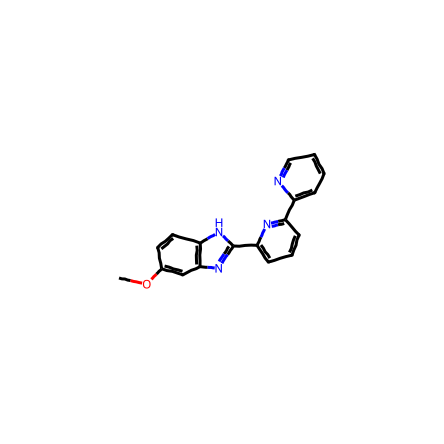 COc1ccc2[nH]c(-c3cccc(-c4ccccn4)n3)nc2c1